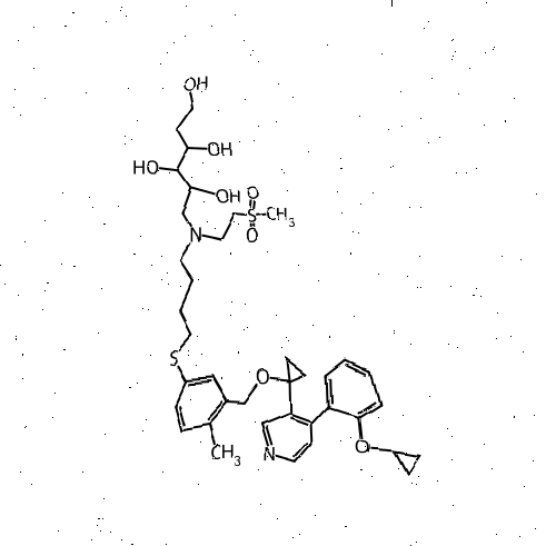 Cc1ccc(SCCCCN(CCS(C)(=O)=O)CC(O)C(O)C(O)CCO)cc1COC1(c2cnccc2-c2ccccc2OC2CC2)CC1